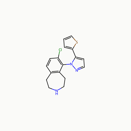 Clc1ccc2c(c1-n1nccc1-c1cccs1)CCNCC2